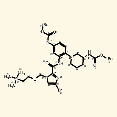 CC(C)(C)OC(=O)Nc1ccc(N2CCC[C@@H](NC(=O)OC(C)(C)C)C2)c(NC(=O)c2nc(Br)cn2COCC[Si](C)(C)C)c1